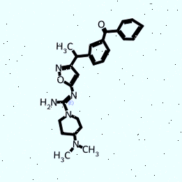 CC(c1cccc(C(=O)c2ccccc2)c1)c1cc(/N=C(\N)N2CCC(N(C)C)CC2)on1